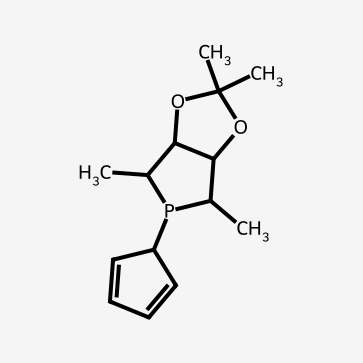 CC1C2OC(C)(C)OC2C(C)P1C1C=CC=C1